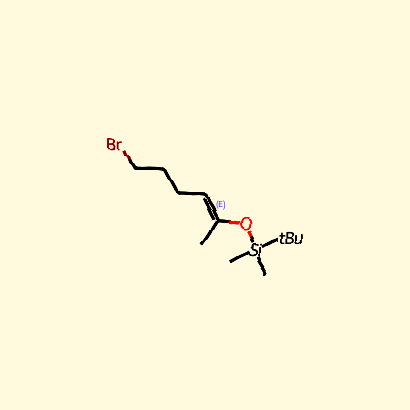 C/C(=C\CCCBr)O[Si](C)(C)C(C)(C)C